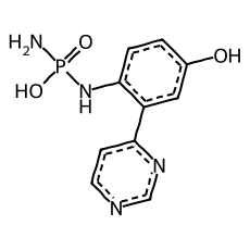 NP(=O)(O)Nc1ccc(O)cc1-c1ccncn1